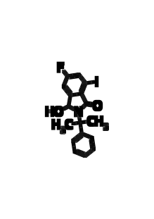 CC(C)(c1ccccc1)N1C(=O)c2c(I)cc(F)cc2C1O